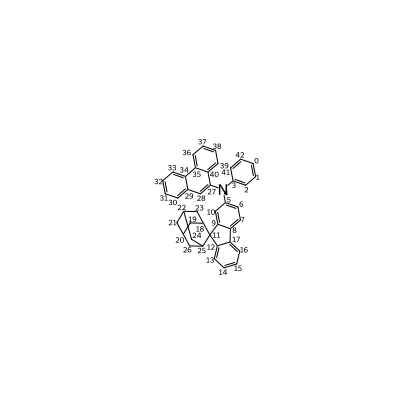 c1ccc(N(c2ccc3c(c2)C2(c4ccccc4-3)C3CC4CC(C3)CC2C4)c2cc3ccccc3c3ccccc23)cc1